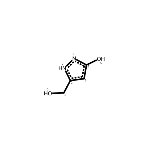 OCc1cc(O)n[nH]1